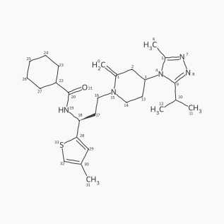 C=C1CC(n2c(C)nnc2C(C)C)CCN1CC[C@H](NC(=O)C1CCCCC1)c1cc(C)cs1